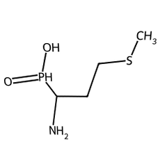 CSCCC(N)[PH](=O)O